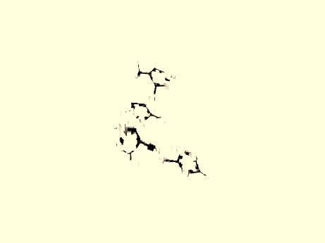 N#Cc1c[nH]nc1N.Nc1cc[nH]n1.Nc1n[nH]c(N)n1.Nc1n[nH]cc1C(=O)O